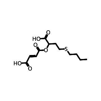 CCCCSCCC(OC(=O)C=CC(=O)O)C(=O)O